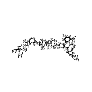 O=C1CCC(N2Cc3cc(N4CCC(N5CC6(CCN(c7ccc([C@H]8c9ccc(O)cc9OC[C@H]8c8ccccc8F)cc7)CC6)C5)CC4)ccc3C2=O)C(=O)N1